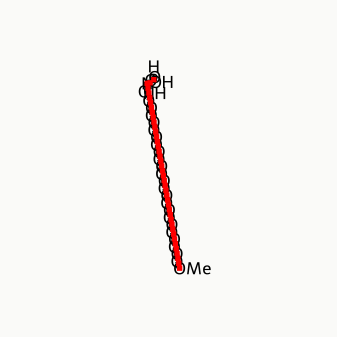 COCCOCCOCCOCCOCCOCCOCCOCCOCCOCCOCCOCCOCCOCCOCCOCCOCCOCCOCCOCCOCCOCCOCCOCCNC(=O)CCN(C)CO[PH](=O)O